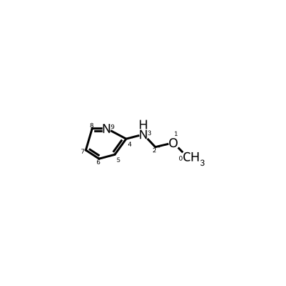 CO[CH]Nc1ccccn1